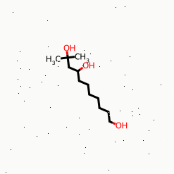 CC(C)(O)CC(O)CCCCCCCO